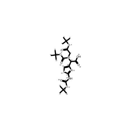 CC(C)(C)OC(=O)CN(C(=O)OC(C)(C)C)C(C(=O)O)c1csc(NC(=O)OC(C)(C)C)n1